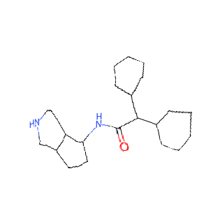 O=C(NC1CCC2CNCC21)C(C1CCCCC1)C1CCCCC1